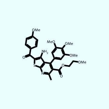 COCCOC(=O)c1c(C)nc2sc(C(=O)c3ccc(OC)cc3)c(N)c2c1-c1cc(OC)c(OC)c(OC)c1